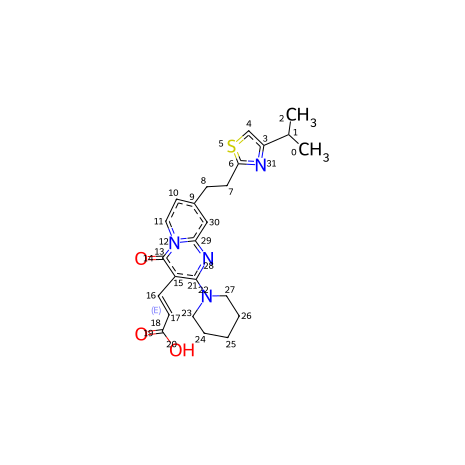 CC(C)c1csc(CCc2ccn3c(=O)c(/C=C/C(=O)O)c(N4CCCCC4)nc3c2)n1